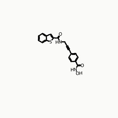 O=C(NO)c1ccc(C#CCNC(=O)c2cc3ccccc3s2)cc1